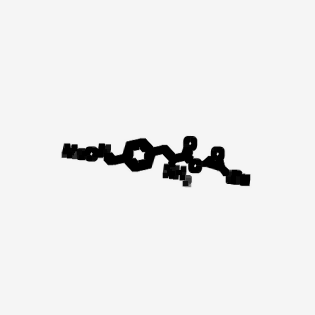 CON=Cc1ccc(C[C@H](N)C(=O)O[C@@H]2O[C@H]2C(C)(C)C)cc1